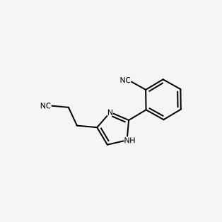 N#CCCc1c[nH]c(-c2ccccc2C#N)n1